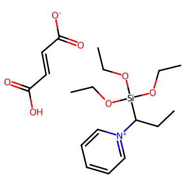 CCO[Si](OCC)(OCC)C(CC)[n+]1ccccc1.O=C([O-])C=CC(=O)O